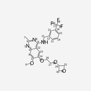 COc1cc2nc(C)nc(NCc3cccc(C(F)(F)F)c3)c2cc1OCCOC1COC1